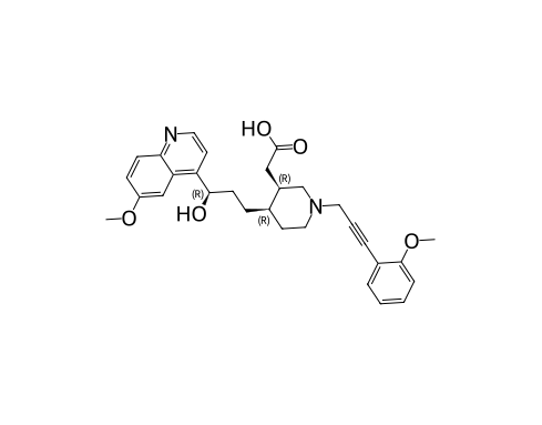 COc1ccc2nccc([C@H](O)CC[C@@H]3CCN(CC#Cc4ccccc4OC)C[C@@H]3CC(=O)O)c2c1